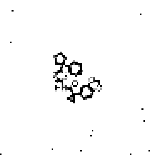 O=C(Nc1ncc(C2(c3ccccc3)CCCC2)s1)C1(c2ccc3c(c2)OCO3)CC1